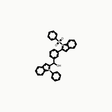 O=S(=O)(c1ccccc1)n1c(-c2cccc(C(O)c3cc4ccccc4n3-c3ccccc3)c2)cc2ccccc21